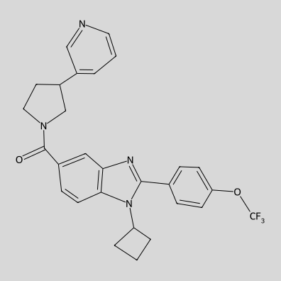 O=C(c1ccc2c(c1)nc(-c1ccc(OC(F)(F)F)cc1)n2C1CCC1)N1CCC(c2cccnc2)C1